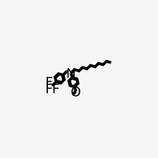 CCCCCCCCCCN(Cc1ccc(C(F)(F)F)cc1)c1ccc(OC)cc1